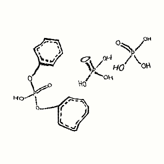 O=P(O)(O)O.O=P(O)(O)O.O=P(O)(Oc1ccccc1)Oc1ccccc1